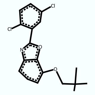 CC(C)(C)COc1cccc2nc(-c3cc(Cl)ccc3Cl)oc12